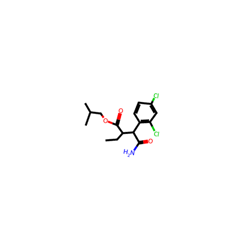 CCC(C(=O)OCC(C)C)C(C(N)=O)c1ccc(Cl)cc1Cl